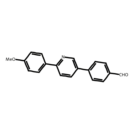 COc1ccc(-c2ccc(-c3ccc(C=O)cc3)cn2)cc1